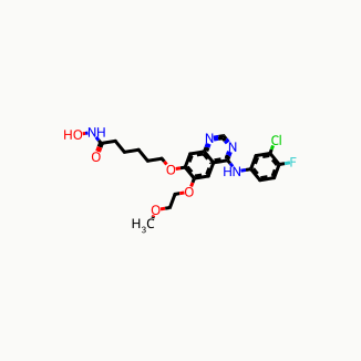 COCCOc1cc2c(Nc3ccc(F)c(Cl)c3)ncnc2cc1OCCCCCC(=O)NO